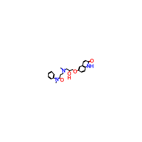 CN(CCC(=O)N(C)c1ccccc1)CC(O)COc1ccc2[nH]c(=O)ccc2c1